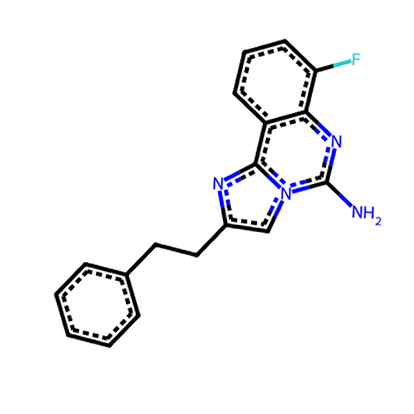 Nc1nc2c(F)cccc2c2nc(CCc3ccccc3)cn12